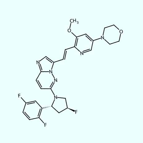 COc1cc(N2CCOCC2)cnc1/C=C/c1cnc2ccc(N3C[C@@H](F)C[C@@H]3c3cc(F)ccc3F)nn12